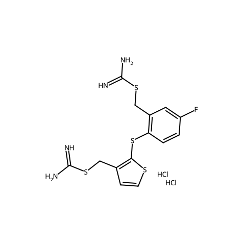 Cl.Cl.N=C(N)SCc1cc(F)ccc1Sc1sccc1CSC(=N)N